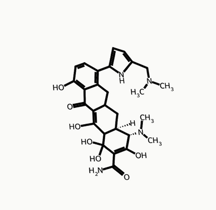 CN(C)Cc1ccc(-c2ccc(O)c3c2CC2C[C@@H]4C(C(O)=C2C3=O)C(O)(O)C(C(N)=O)=C(O)[C@H]4N(C)C)[nH]1